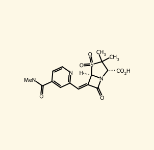 CNC(=O)c1ccnc(/C=C2/C(=O)N3[C@@H](C(=O)O)C(C)(C)S(=O)(=O)[C@H]23)c1